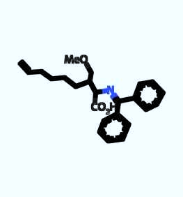 C=CCCCCC(COC)C(N=C(c1ccccc1)c1ccccc1)C(=O)O